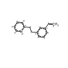 C=Cc1cccc(CCc2ccccn2)c1